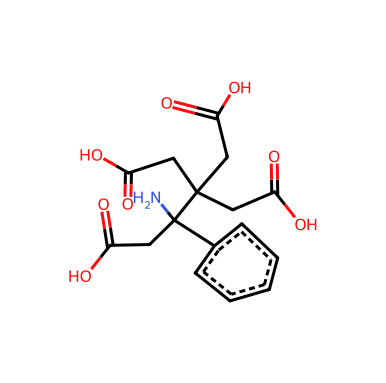 NC(CC(=O)O)(c1ccccc1)C(CC(=O)O)(CC(=O)O)CC(=O)O